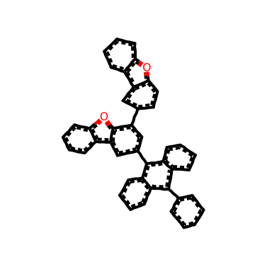 c1ccc(-c2c3ccccc3c(-c3cc(-c4ccc5oc6ccccc6c5c4)c4oc5ccccc5c4c3)c3ccccc23)cc1